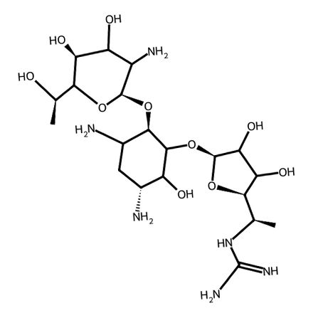 C[C@@H](O)C1O[C@H](O[C@@H]2C(N)C[C@@H](N)C(O)C2O[C@@H]2O[C@H]([C@@H](C)NC(=N)N)C(O)C2O)C(N)C(O)[C@@H]1O